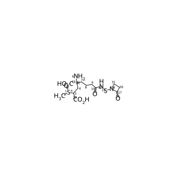 C[S+]([O-])C(C[C@@](N)(CCCC(=O)NSN1CCC1=O)C(=O)O)C(=O)O